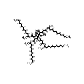 CCCCCCCCCCC(C)OC(=O)CC(S)OC(C(S)CC(=O)OC(C)CCCCCCCCCC)(C(S)CC(=O)OC(C)CCCCCCCCCC)C(CO)(CO)C(O)C(S)CC(=O)OC(C)CCCCCCCCCC